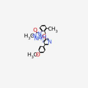 COc1ccc(-c2cncc(OCc3c(C)cccc3N(N)C(=O)N(C)N)c2)cc1